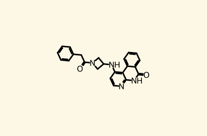 O=C(Cc1ccccc1)N1CC(Nc2ccnc3[nH]c(=O)c4ccccc4c23)C1